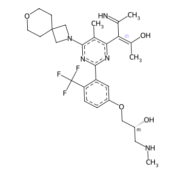 CNC[C@@H](O)COc1ccc(C(F)(F)F)c(-c2nc(/C(C(C)=N)=C(\C)O)c(C)c(N3CC4(CCOCC4)C3)n2)c1